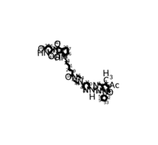 CC(=O)c1c(C)c2cnc(Nc3ccc(N4CCN(C(=O)CCCCCNc5cccc6c5C(=O)N(C5CCC(=O)NC5=O)C6=O)CC4)cn3)nc2n(C2CCCC2)c1=O